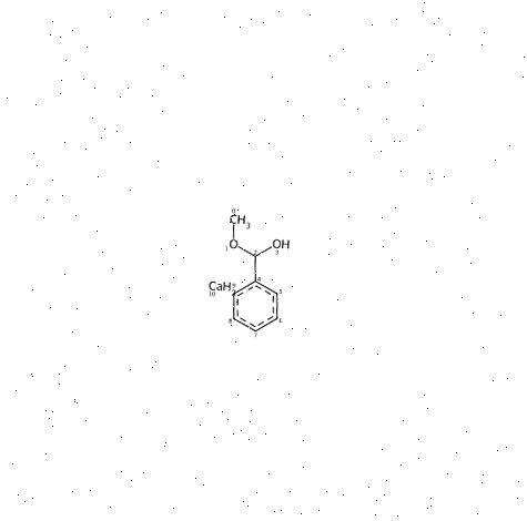 COC(O)c1ccccc1.[CaH2]